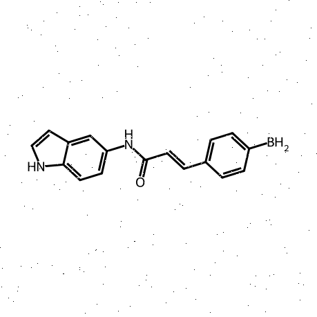 Bc1ccc(/C=C/C(=O)Nc2ccc3[nH]ccc3c2)cc1